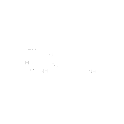 CC(=O)NC1C(O)[C@H](O)C(C)O[C@H]1OCCCCCN